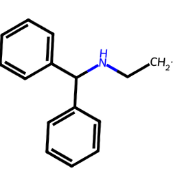 [CH2]CNC(c1ccccc1)c1ccccc1